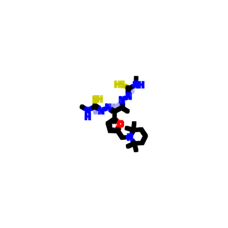 CN/C(S)=N/N=C(/C(C)=N/N=C(\S)NC)c1ccc(CN2C(C)(C)CCCC2(C)C)o1